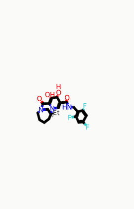 CC[C@@]12CCCCN(C1)C(=O)C1=C(O)C(O)C(C(=O)NCc3c(F)cc(F)cc3F)=CN12